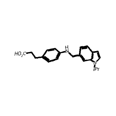 CC(C)n1ccc2ccc(CNc3ccc(CCC(=O)O)cc3)cc21